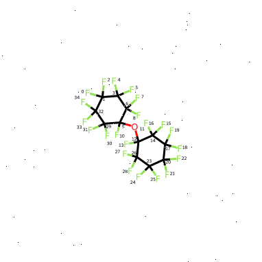 FC1(F)C(F)(F)C(F)(F)C(F)(OC2(F)C(F)(F)C(F)(F)C(F)(F)C(F)(F)C2(F)F)C(F)(F)C1(F)F